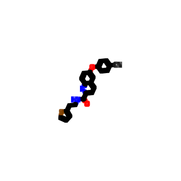 N#Cc1ccc(Oc2ccc3nc(C(=O)NCCc4cccs4)ccc3c2)cc1